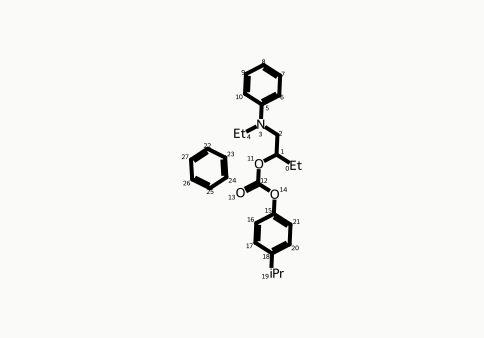 CCC(CN(CC)c1ccccc1)OC(=O)Oc1ccc(C(C)C)cc1.c1ccccc1